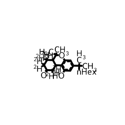 [2H]C1([2H])C(=O)C([2H])([2H])[C@@]2([2H])c3c(O)cc(C(C)(C)CCCCCC)cc3OC(C)(C)[C@]2([2H])C1([2H])[2H]